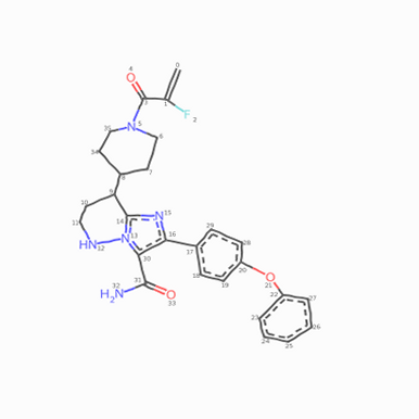 C=C(F)C(=O)N1CCC(C2CCNn3c2nc(-c2ccc(Oc4ccccc4)cc2)c3C(N)=O)CC1